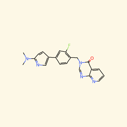 CN(C)c1ccc(-c2ccc(Cn3cnc4ncccc4c3=O)c(F)c2)cn1